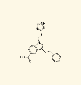 O=C(O)c1ccc2c(c1)c(CCc1ccncc1)cn2CCc1nn[nH]n1